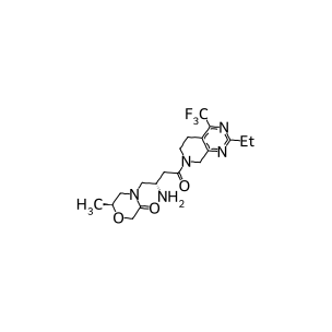 CCc1nc2c(c(C(F)(F)F)n1)CCN(C(=O)C[C@H](N)CN1C[C@H](C)OCC1=O)C2